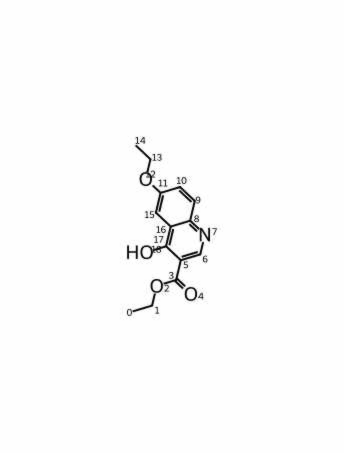 CCOC(=O)c1cnc2ccc(OCC)cc2c1O